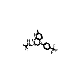 CC(=O)NC[C@H]1CN(c2ccc(C(F)(F)F)cc2)c2ccc(C)nc2O1